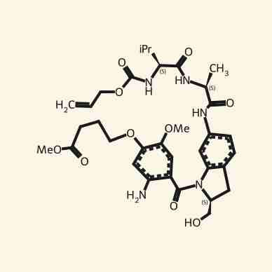 C=CCOC(=O)N[C@H](C(=O)N[C@@H](C)C(=O)Nc1ccc2c(c1)N(C(=O)c1cc(OC)c(OCCCC(=O)OC)cc1N)[C@H](CO)C2)C(C)C